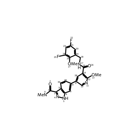 CNC(=O)c1n[nH]c2cc(-c3cnc(OC)c(C(=O)NCc4cc(F)cc(F)c4OC)c3)ccc12